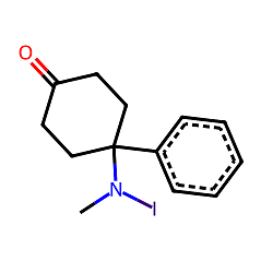 CN(I)C1(c2ccccc2)CCC(=O)CC1